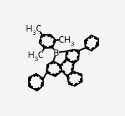 Cc1cc(C)c(B2c3cc(-c4ccccc4)cc4c5ccccc5c5cc(-c6ccccc6)cc2c5c34)c(C)c1